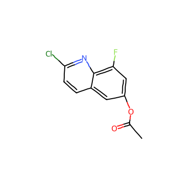 CC(=O)Oc1cc(F)c2nc(Cl)ccc2c1